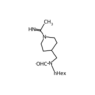 CCCCCCN([C]=O)CC1CCN(C(C)=N)CC1